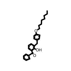 CCCCCCCCOc1ccc(Cc2cccc(C(=O)c3ccccc3)c2O)cc1